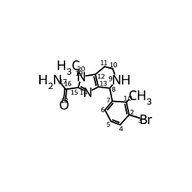 Cc1c(Br)cccc1C1NCCc2c1nc(C(N)=O)n2C